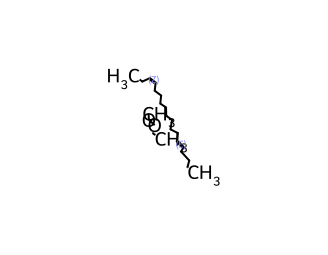 CC/C=C\CCCCCCCC/C=C/CCCC.CCOOC